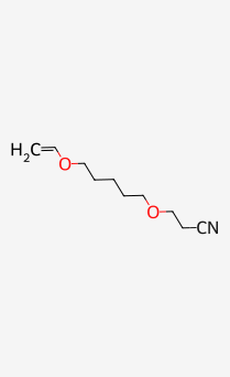 C=COCCCCCOCCC#N